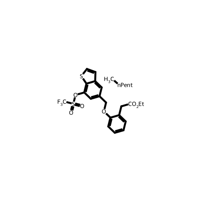 CCCCCC.CCOC(=O)Cc1ccccc1OCc1cc(OS(=O)(=O)C(F)(F)F)c2sccc2c1